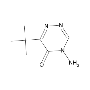 CC(C)(C)c1nncn(N)c1=O